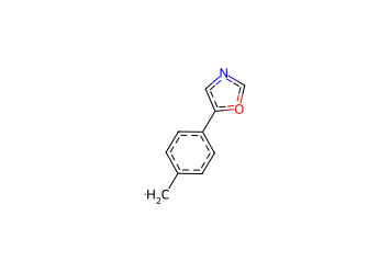 [CH2]c1ccc(-c2cnco2)cc1